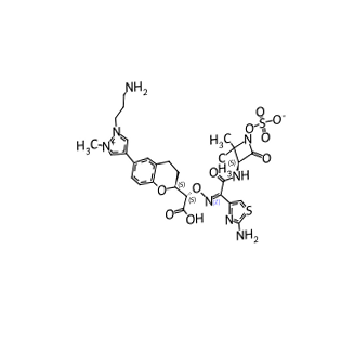 C[n+]1cc(-c2ccc3c(c2)CC[C@@H]([C@H](O/N=C(\C(=O)N[C@@H]2C(=O)N(OS(=O)(=O)[O-])C2(C)C)c2csc(N)n2)C(=O)O)O3)cn1CCCN